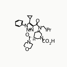 CC(C)CN(C(=O)c1nnn(-c2ccccc2)c1C1CC1)[C@H]1C[C@@H](C(=O)N2CCOCC2)CN(C(=O)O)C1